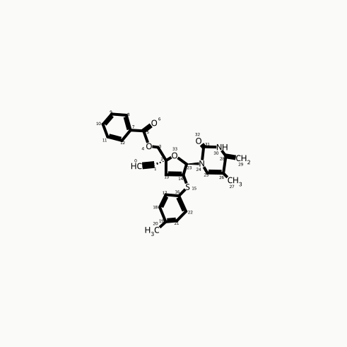 C#C[C@@]1(COC(=O)c2ccccc2)C=C(Sc2ccc(C)cc2)[C@H](N2C=C(C)C(=C)NC2=O)O1